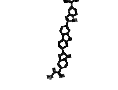 CNC(=N)c1ccc2[nH]c(-c3ccc4c(c3)oc3cc(-c5nc6cc(C(=N)NC)ccc6[nH]5)ccc34)nc2c1